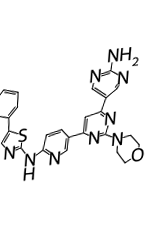 Nc1ncc(-c2cc(-c3ccc(Nc4ncc(-c5ccccc5)s4)nc3)nc(N3CCOCC3)n2)cn1